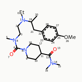 CCN(CCN(C)C(=O)N1CCC(C(=O)N(C)C)CC1)C(C)Cc1ccc(OC)cc1